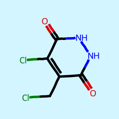 O=c1[nH][nH]c(=O)c(CCl)c1Cl